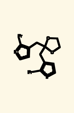 CC(C)c1sccc1CC1(Cc2ccsc2C(C)C)OCCO1